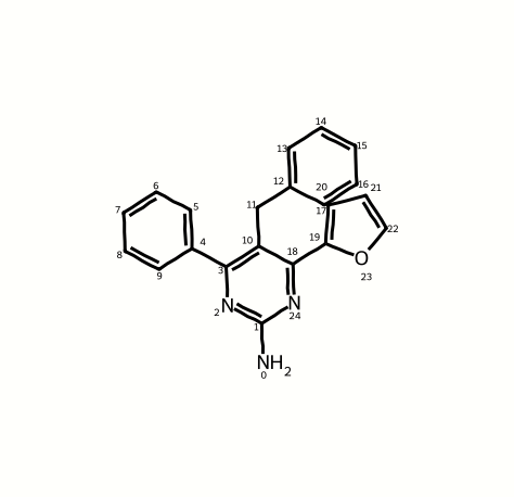 Nc1nc(-c2ccccc2)c(Cc2ccccc2)c(-c2ccco2)n1